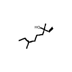 C=CC(C)(O)CCCC(C)CC